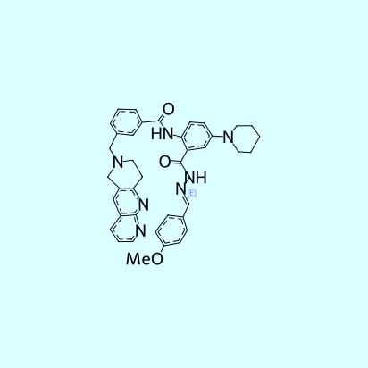 COc1ccc(/C=N/NC(=O)c2cc(N3CCCCC3)ccc2NC(=O)c2cccc(CN3CCc4nc5ncccc5cc4C3)c2)cc1